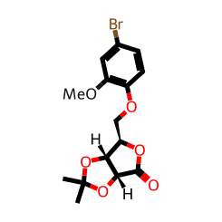 COc1cc(Br)ccc1OC[C@H]1OC(=O)[C@@H]2OC(C)(C)O[C@H]12